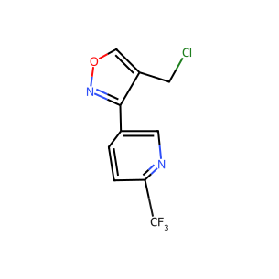 FC(F)(F)c1ccc(-c2nocc2CCl)cn1